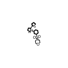 O=S(=O)(c1cccc(-n2nccc2-c2cccs2)c1)N1CCOCC1